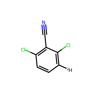 [2H]c1ccc(Cl)c(C#N)c1Cl